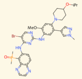 COc1cc(N2CCC(OC(C)C)CC2)c(-c2cnn(C)c2)cc1Nc1ncc(Br)c(Nc2ccc3nccnc3c2P(C)(C)=O)n1